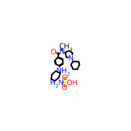 C1CCCCC1.CN(C(=O)c1ccc(N)cc1)C1CCN(C2CCCCC2)C1.NS(=O)(=O)O